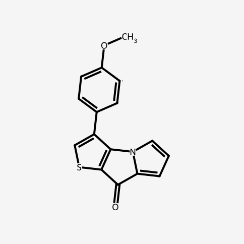 COc1[c]cc(-c2csc3c2-n2cccc2C3=O)cc1